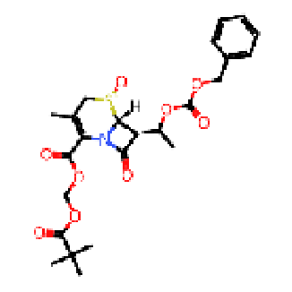 CC1=C(C(=O)OCOC(=O)C(C)(C)C)N2C(=O)[C@H](C(C)OC(=O)OCc3ccccc3)[C@H]2[S+]([O-])C1